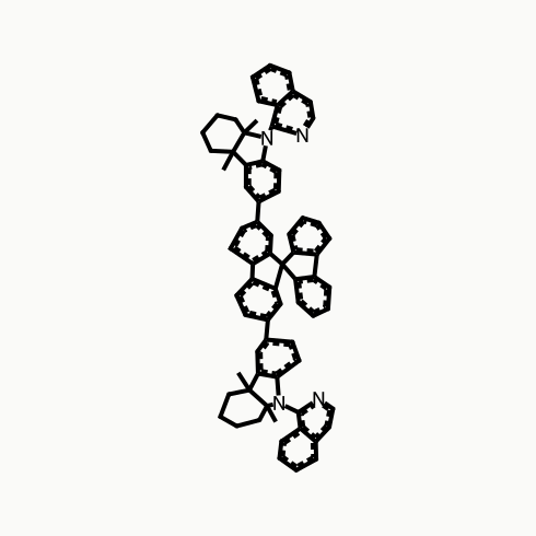 CC12CCCCC1(C)N(c1nccc3ccccc13)c1ccc(-c3ccc4c(c3)C3(c5ccccc5-c5ccccc53)c3cc(-c5ccc6c(c5)C5(C)CCCCC5(C)N6c5nccc6ccccc56)ccc3-4)cc12